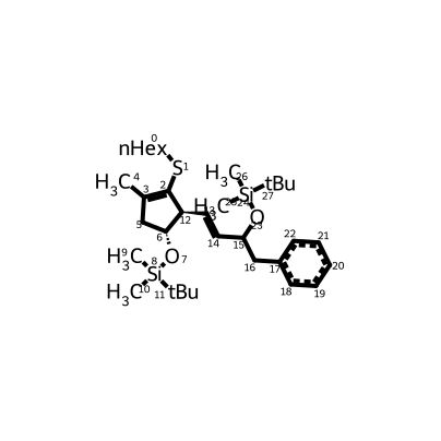 CCCCCCSC1=C(C)C[C@@H](O[Si](C)(C)C(C)(C)C)[C@@H]1C=CC(Cc1ccccc1)O[Si](C)(C)C(C)(C)C